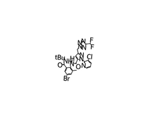 Cc1cc(Br)cc(C(=O)NC(C)(C)C)c1NC(=O)c1cc(Cn2nnc(C(F)F)n2)nn1-c1ncccc1Cl